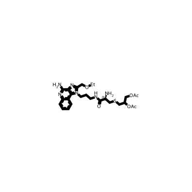 CCOCc1nc2c(N)nc3ccccc3c2n1CCCNC(=O)[C@@H](N)CSCC(COC(C)=O)OC(C)=O